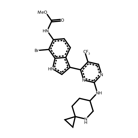 COC(=O)Nc1ccc2c(-c3nc(NC4CCC5(CC5)NC4)ncc3C(F)(F)F)c[nH]c2c1Br